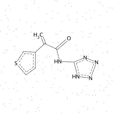 C=C(C(=O)Nc1nnn[nH]1)c1ccsc1